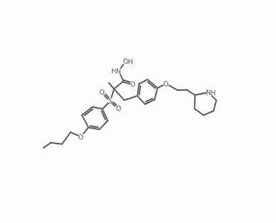 CCCCOc1ccc(S(=O)(=O)C(C)(Cc2ccc(OCCC3CCCCN3)cc2)C(=O)NO)cc1